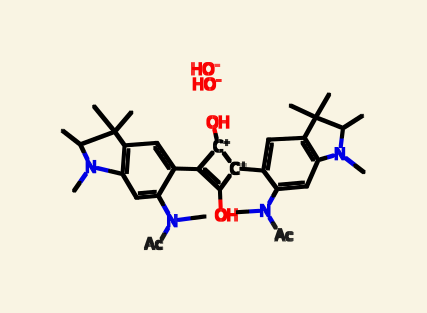 CC(=O)N(C)c1cc2c(cc1-c1c(O)[c+](-c3cc4c(cc3N(C)C(C)=O)N(C)C(C)C4(C)C)[c+]1O)C(C)(C)C(C)N2C.[OH-].[OH-]